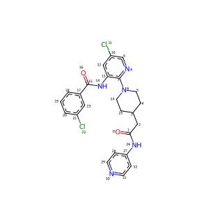 O=C(CC1CCN(c2ncc(Cl)cc2NC(=O)c2cccc(Cl)c2)CC1)Nc1ccncc1